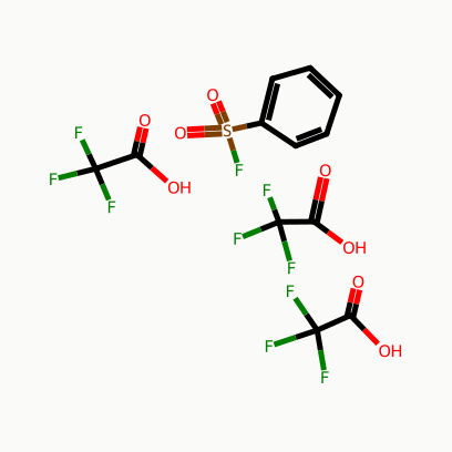 O=C(O)C(F)(F)F.O=C(O)C(F)(F)F.O=C(O)C(F)(F)F.O=S(=O)(F)c1ccccc1